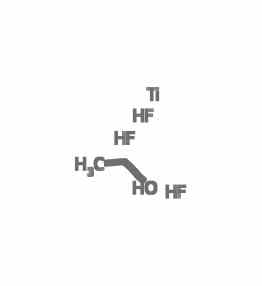 CCO.F.F.F.[Ti]